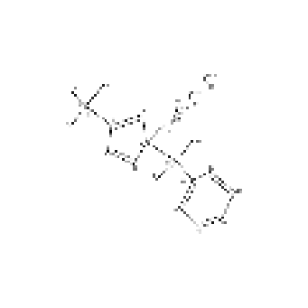 C[Si](C)(C)C1=C[C]([Ti+3])([Si](C)(C)c2ccccc2)C=C1.[Cl-].[Cl-].[Cl-]